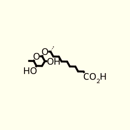 CC1OC(O[C@H](C)CCCCCCCCC(=O)O)C(O)CC1O